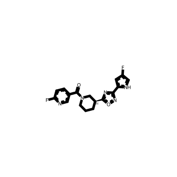 O=C(c1ccc(F)nc1)N1CCC[C@H](c2nc(-c3cc(F)c[nH]3)no2)C1